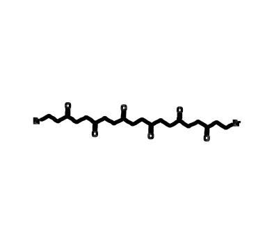 O=C(CCBr)CCC(=O)CCC(=O)CCC(=O)CCC(=O)CCC(=O)CCBr